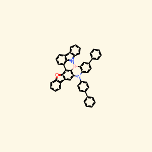 c1ccc(-c2ccc(N3c4ccc(-c5ccccc5)cc4B4c5c3cc3c(oc6ccccc63)c5-c3cccc5c6ccccc6n4c35)cc2)cc1